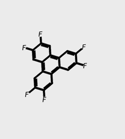 Fc1cc2c3cc(F)c(F)cc3c3cc(F)c(F)cc3c2cc1F